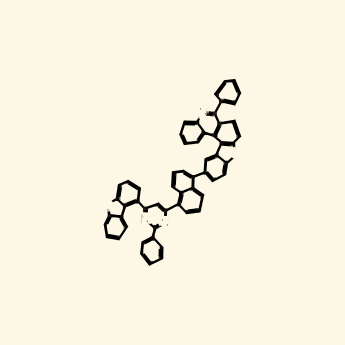 c1ccc(-c2nc(-c3cccc4c(-c5ccc6sc7ccc8c(-c9ccccc9)nc9ccccc9c8c7c6c5)cccc34)cc(-c3cccc4sc5ccccc5c34)n2)cc1